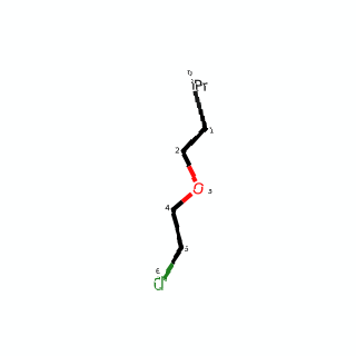 CC(C)CCOCCCl